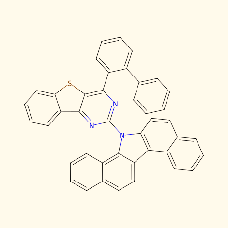 c1ccc(-c2ccccc2-c2nc(-n3c4ccc5ccccc5c4c4ccc5ccccc5c43)nc3c2sc2ccccc23)cc1